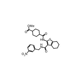 COC(=O)C1CCC(C(=O)Nc2sc3c(c2C(=O)NCc2cccc([N+](=O)[O-])c2)CCCC3)CC1